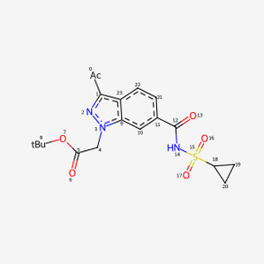 CC(=O)c1nn(CC(=O)OC(C)(C)C)c2cc(C(=O)NS(=O)(=O)C3CC3)ccc12